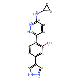 Oc1cc(-c2cn[nH]c2)ccc1-c1ccc(NC2CC2)nn1